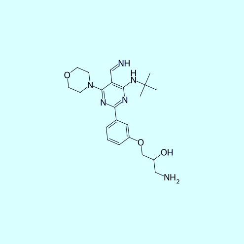 CC(C)(C)Nc1nc(-c2cccc(OCC(O)CN)c2)nc(N2CCOCC2)c1C=N